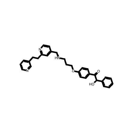 O=C(c1ccc(OCCCNCc2ccnc(CCc3cccnc3)c2)cc1)C(O)c1ccccc1